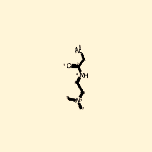 CC(=O)CC(=O)NCCN(C)C